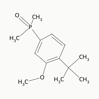 COc1cc(P(C)(C)=O)ccc1C(C)(C)C